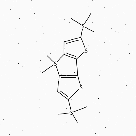 CS(C)(C)c1cc2c(s1)-c1sc(S(C)(C)C)cc1S2(C)C